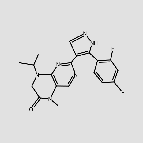 CC(C)N1CC(=O)N(C)c2cnc(-c3cn[nH]c3-c3ccc(F)cc3F)nc21